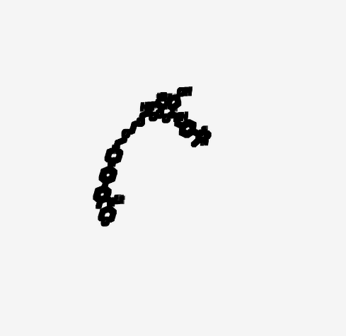 CCN(c1cc(-c2ccc(N3CCN(CCOCCOCC(=O)N[C@H](C(=O)N4C[C@H](O)C[C@H]4C(=O)NCc4ccc(-c5scnc5C)cc4)C(C)(C)C)CC3)cc2)ccc1C)C1CCOCC1